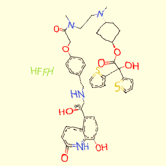 CN(CCN(C)[C@H]1CC[C@H](OC(=O)C(O)(c2cccs2)c2cccs2)CC1)C(=O)COc1ccc(CNC[C@H](O)c2ccc(O)c3[nH]c(=O)ccc23)cc1.F.F